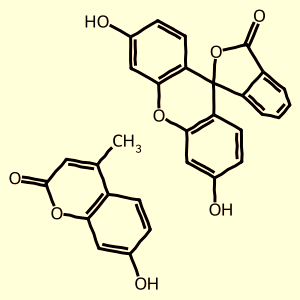 Cc1cc(=O)oc2cc(O)ccc12.O=C1OC2(c3ccc(O)cc3Oc3cc(O)ccc32)c2ccccc21